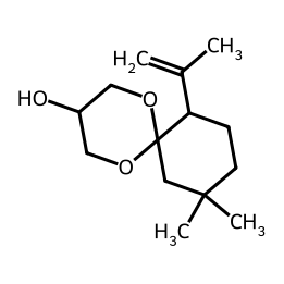 C=C(C)C1CCC(C)(C)CC12OCC(O)CO2